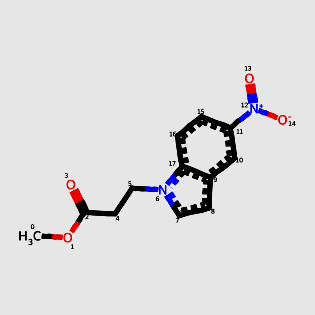 COC(=O)CCn1ccc2cc([N+](=O)[O-])ccc21